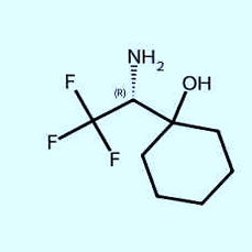 N[C@@H](C(F)(F)F)C1(O)CCCCC1